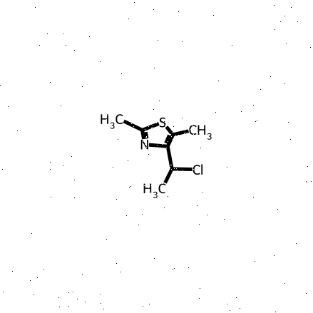 Cc1nc(C(C)Cl)c(C)s1